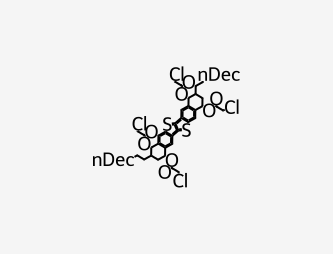 CCCCCCCCCCCCC1CC(OC(=O)CCl)c2cc3c(cc2C1OC(=O)CCl)sc1c2cc4c(cc2sc31)C(OC(=O)CCl)CC(CCCCCCCCCCCC)C4OC(=O)CCl